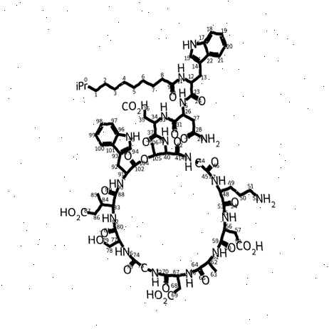 CC(C)CCCCCCCCC(=O)NC(Cc1c[nH]c2ccccc12)C(=O)NC(CC(N)=O)C(=O)NC(CC(=O)O)C(=O)NC1C(=O)NCC(=O)NC(CCCN)C(=O)NC(CC(=O)O)C(=O)NC(C)C(=O)NC(CC(=O)O)C(=O)NCC(=O)NC(CO)C(=O)NC(C(C)CC(=O)O)C(=O)NC(Cc2c[nH]c3ccccc23)C(=O)OC1C